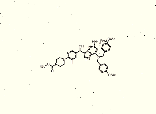 CCC[C@H](C)Nc1nc(N(Cc2ccc(OC)cc2)Cc2ccc(OC)cc2)c2ncc(C(O)c3cnc(N4CCN(C(=O)OC(C)(C)C)CC4)c(C)c3)n2n1